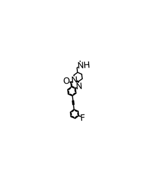 CNCC1CCc2nc3cc(C#Cc4cccc(F)c4)ccc3c(=O)n2C1